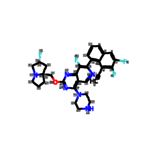 C#Cc1c(F)c(F)cc2cccc(-c3ncc4c(N5CCNCC5)nc(OC[C@@]56CCCN5C[C@H](F)C6)nc4c3F)c12